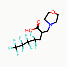 O=C(O)C(CN1CCOCC1)CC(F)(F)C(F)(F)C(F)(F)C(F)(F)F